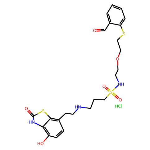 Cl.O=Cc1ccccc1SCCOCCNS(=O)(=O)CCCNCCc1ccc(O)c2[nH]c(=O)sc12